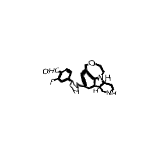 O=Cc1ccc(Nc2cc3c4c(c2)[C@@H]2CNCC[C@@H]2N4CCOC3)cc1F